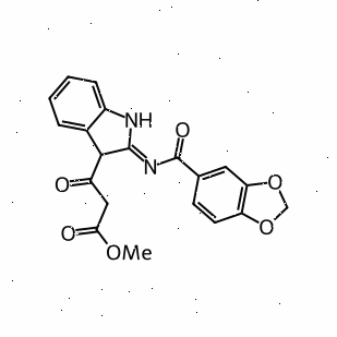 COC(=O)CC(=O)C1C(=NC(=O)c2ccc3c(c2)OCO3)Nc2ccccc21